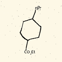 [CH2]CCC1CCC(C(=O)OCC)CC1